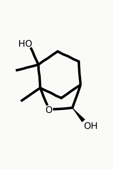 CC1(O)CCC2CC1(C)O[C@@H]2O